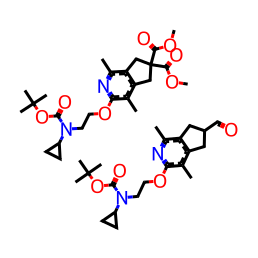 COC(=O)C1(C(=O)OC)Cc2c(C)nc(OCCN(C(=O)OC(C)(C)C)C3CC3)c(C)c2C1.Cc1nc(OCCN(C(=O)OC(C)(C)C)C2CC2)c(C)c2c1CC(C=O)C2